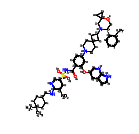 CC(C)c1ccccc1[C@H]1COC2(CC2)CN1C1CC2(CCN(c3ccc(C(=O)NS(=O)(=O)c4cnc(NCC5CCC(C)(C)CC5)c([N+](=O)[O-])c4)c(Oc4cnc5[nH]ccc5c4)c3)CC2)C1